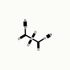 N#[N+]C(=O)S(=O)(=O)C(=O)[N+]#N